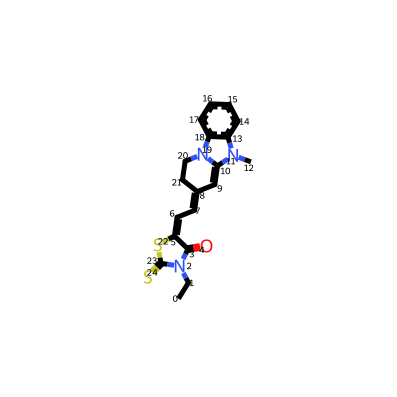 CCN1C(=O)C(=CC=C2C=C3N(C)c4ccccc4N3CC2)SC1=S